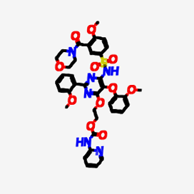 COc1ccccc1Oc1c(NS(=O)(=O)c2ccc(OC)c(C(=O)N3CCOCC3)c2)nc(-c2ccccc2OC)nc1OCCOC(=O)Nc1ccccn1